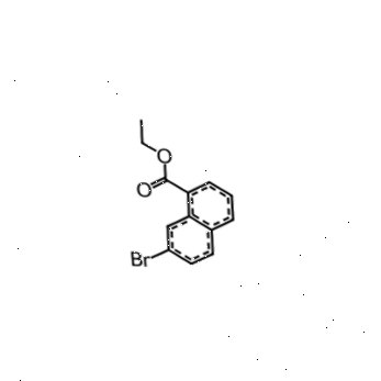 CCOC(=O)c1cccc2ccc(Br)cc12